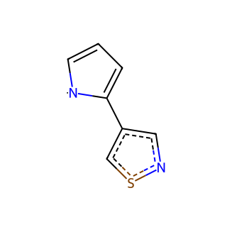 C1=C[N]C(c2cnsc2)=C1